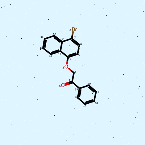 O=C(COc1ccc(Br)c2ccccc12)c1ccccc1